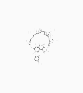 CO[C@H]1/C=C/O[C@@]2(C)Oc3c(C)c(O)c4c(=O)c(c5oc6ccc(Br)cc6nc-5c4c3C2=O)NC(=O)/C(C)=C\C=C\[C@H](C)[C@@H]2O[C@H](C[C@@H]2C)[C@H](OC(C)=O)C1